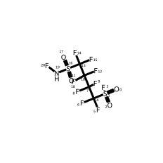 O=S(=O)(F)C(F)(F)C(F)(F)C(F)(F)C(F)(F)S(=O)(=O)NF